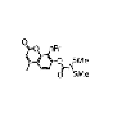 CCCc1c(OC(=O)N(SC)SC)ccc2c(C)cc(=O)oc12